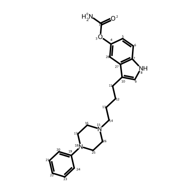 NC(=O)Oc1ccc2[nH]cc(CCCCN3CCN(c4ccccc4)CC3)c2c1